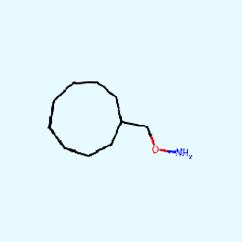 NOCC1CCCCCCCC1